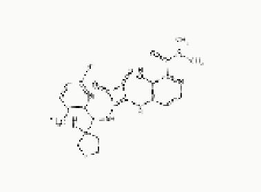 Cc1ccc(Br)nc1[C@H](Nc1c(Nc2ccnc(C(=O)N(C)C)c2O)c(=O)c1=O)C1(C)CCCC1